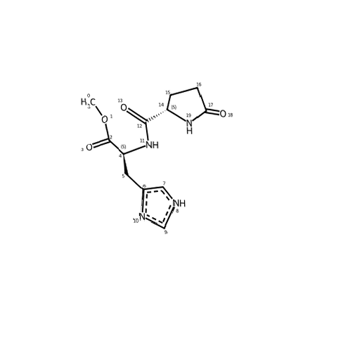 COC(=O)[C@H](Cc1c[nH]cn1)NC(=O)[C@@H]1CCC(=O)N1